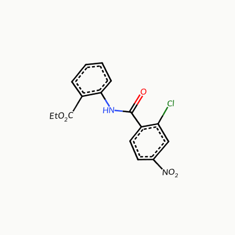 CCOC(=O)c1ccccc1NC(=O)c1ccc([N+](=O)[O-])cc1Cl